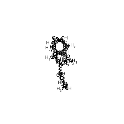 CCC(=O)N[C@H](C(=O)NCC(=O)N[C@H]1C[S+]([O-])c2[nH]c3c(CSC4CCN(C(=O)CCCCCNC(=O)C5CCC(CNC(=O)CC(C)C(=O)O)CC5)CC4)c(OC)ccc3c2C[C@@H](C(N)=O)NC(=O)[C@H]([C@@H](C)[C@@H](O)CO)NC(=O)[C@@H]2C[C@@H](O)CN2C(=O)[C@H](CC(N)=O)NC1=O)[C@@H](C)CC